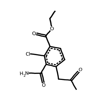 CCOC(=O)c1ccc(CC(C)=O)c(C(N)=O)c1Cl